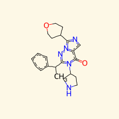 CC(c1ccccc1)c1nn2c(C3CCOCC3)ncc2c(=O)n1C1CCNC1